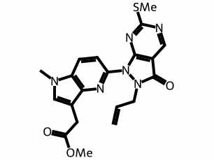 C=CCn1c(=O)c2cnc(SC)nc2n1-c1ccc2c(n1)c(CC(=O)OC)cn2C